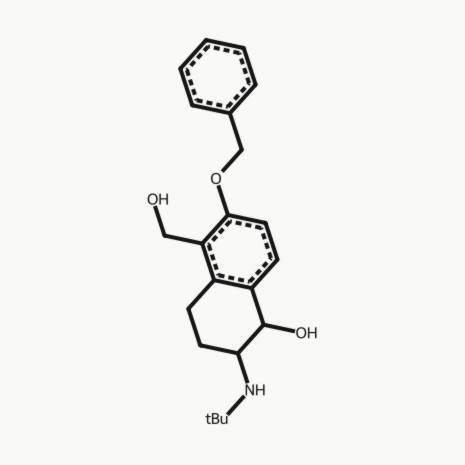 CC(C)(C)NC1CCc2c(ccc(OCc3ccccc3)c2CO)C1O